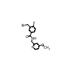 COc1ccnc(CNC(=O)c2ccc(F)c(CBr)c2)c1